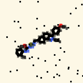 CCc1cccc(CC)c1NC(=O)NS/N=C/c1ccc2c(ccc3c(-c4ccc(OC(F)(F)F)cc4)n(C)nc32)c1